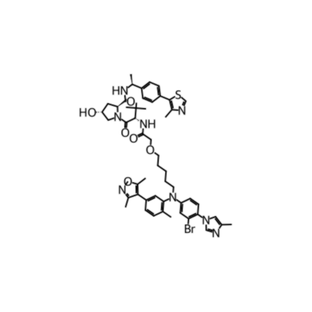 Cc1cn(-c2ccc(N(CCCCCOCC(=O)N[C@H](C(=O)N3C[C@H](O)C[C@H]3C(=O)N[C@@H](C)c3ccc(-c4scnc4C)cc3)C(C)(C)C)c3cc(-c4c(C)noc4C)ccc3C)cc2Br)cn1